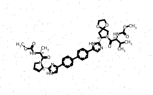 COC(=O)N[C@H](C(=O)N1CC2(C[C@H]1c1ncc(-c3ccc(-c4ccc(-c5c[nH]c([C@@H]6C=CCN6C(=O)[C@@H](C)NC(=O)OC)n5)cc4)cc3)[nH]1)OCCO2)C(C)C